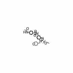 CCOC(C)(C)c1nc2cc(N(C)S(=O)(=O)c3ccc(NC(C)=O)cc3)ccc2n1CC1CCOCC1